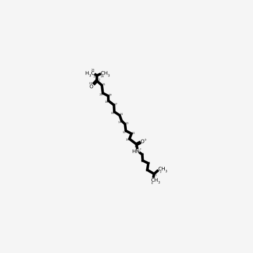 CC(C)CCCCNC(=O)CCCCCCCCCCCCC(=O)C(C)C